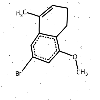 COc1cc(Br)cc2c1CCC=C2C